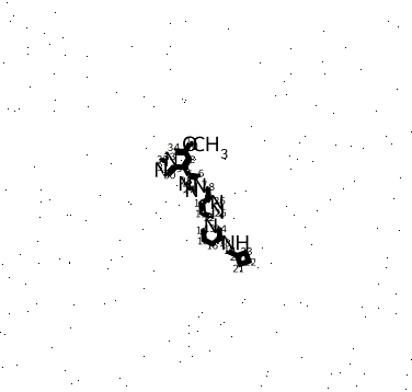 COc1cc(-c2cn(Cc3ccc(N4CCC[C@@H](NCC5CCC5)C4)nn3)nn2)c2cncn2c1